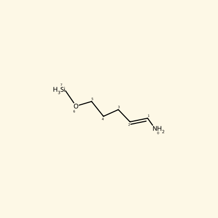 NC=CCCCO[SiH3]